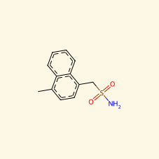 Cc1ccc(CS(N)(=O)=O)c2ccccc12